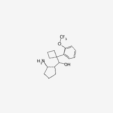 NC1CCCC1C(O)C1(c2ccccc2OC(F)(F)F)CCC1